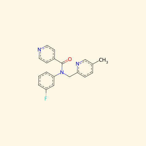 Cc1ccc(CN(C(=O)c2ccncc2)c2cccc(F)c2)nc1